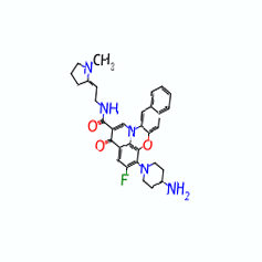 CN1CCCC1CCNC(=O)c1cn2c3c(c(N4CCC(N)CC4)c(F)cc3c1=O)Oc1cc3ccccc3cc1-2